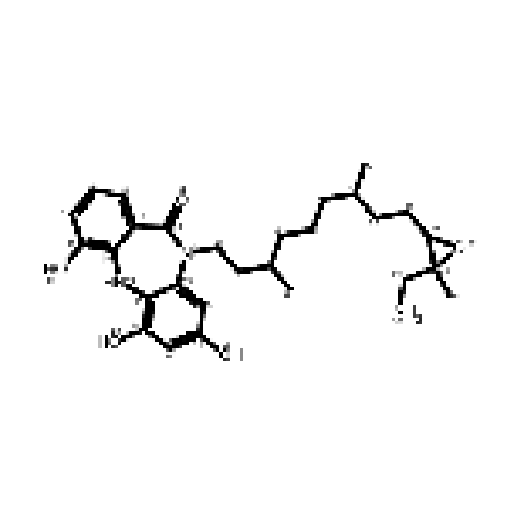 CC(CCCC(C)CCN1C(=O)c2cccc(O)c2Nc2c(O)cc(O)cc21)CCC1OC1(C)CN